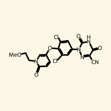 COCCn1cc(Oc2c(Cl)cc(-n3nc(C#N)c(=O)[nH]c3=O)cc2Cl)ccc1=O